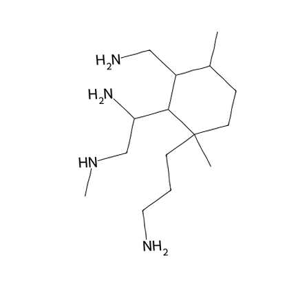 CNCC(N)C1C(CN)C(C)CCC1(C)CCCN